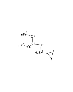 CCCO[Si](OCCC)O[SiH2]C1CC1